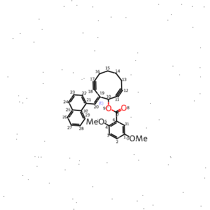 COc1ccc(OC)c(C(=O)OC2C#CCCCCC#C/C2=C\c2cccc3ccccc23)c1